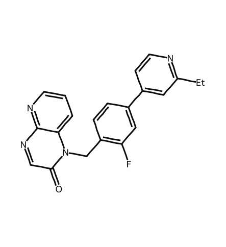 CCc1cc(-c2ccc(Cn3c(=O)cnc4ncccc43)c(F)c2)ccn1